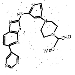 COC(C=O)N1CCN(c2ccnc(Nc3nc4ccc(-c5cncnc5)nc4s3)c2)CC1